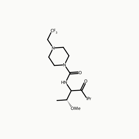 CO[C@H](C)C(NC(=O)N1CCN(CC(F)(F)F)CC1)C(=O)C(C)C